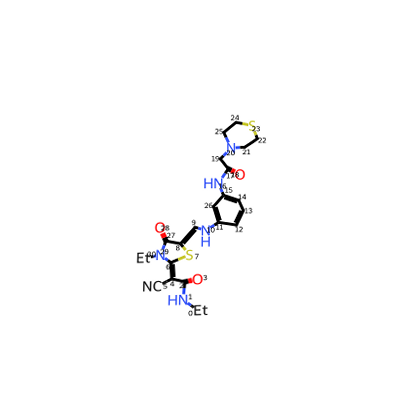 CCNC(=O)C(C#N)=c1sc(=CNc2cccc(NC(=O)CN3CCSCC3)c2)c(=O)n1CC